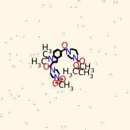 CC(C)n1c(C(=O)N2CCN(S(C)(=O)=O)CC2)cc2cc(C(=O)N3CCCN(C(=O)OC(C)(C)C)CC3)ccc21